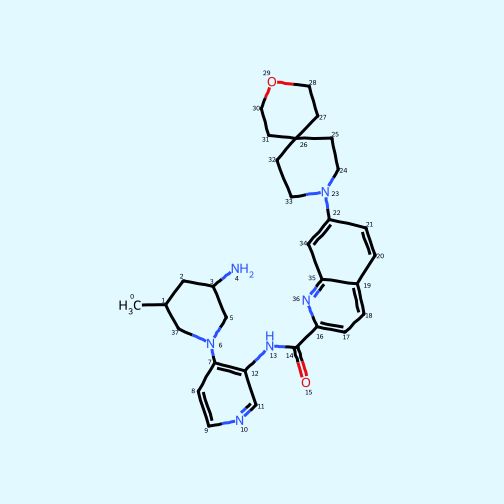 CC1CC(N)CN(c2ccncc2NC(=O)c2ccc3ccc(N4CCC5(CCOCC5)CC4)cc3n2)C1